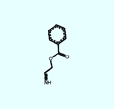 N=CCOC(=O)c1ccccc1